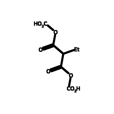 CCC(C(=O)OC(=O)O)C(=O)OC(=O)O